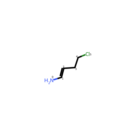 NC=CCCCl